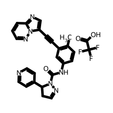 Cc1ccc(NC(=O)N2N=CCC2c2ccncc2)cc1C#Cc1cnc2cccnn12.O=C(O)C(F)(F)F